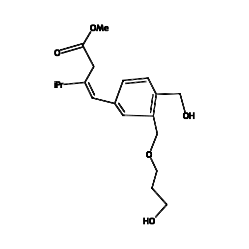 COC(=O)CC(=Cc1ccc(CO)c(COCCCO)c1)C(C)C